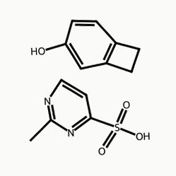 Cc1nccc(S(=O)(=O)O)n1.Oc1ccc2c(c1)CC2